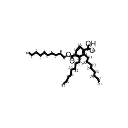 CCCCCCCCCCOC(=O)c1ccc(C(=O)O)c(CCCCCCCC)c1CCCCCCCC